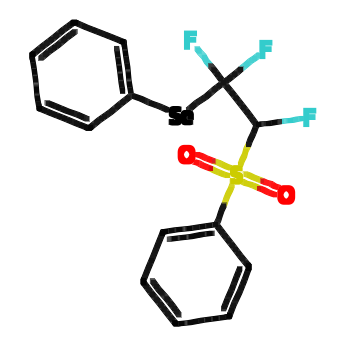 O=S(=O)(c1ccccc1)C(F)C(F)(F)[Se]c1ccccc1